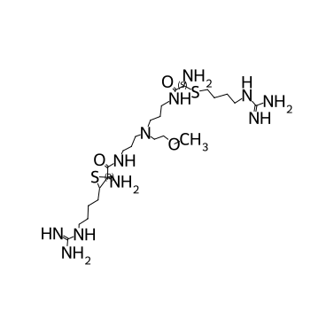 COCCN(CCCNC(=O)[C@@H](N)SCCCCNC(=N)N)CCCNC(=O)[C@@]1(N)SC1CCCCNC(=N)N